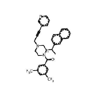 CC(c1ccc2ccccc2c1)[C@@H]1CN(CC#Cc2cccnc2)CCN1C(=O)c1cc(C(F)(F)F)cc(C(F)(F)F)c1